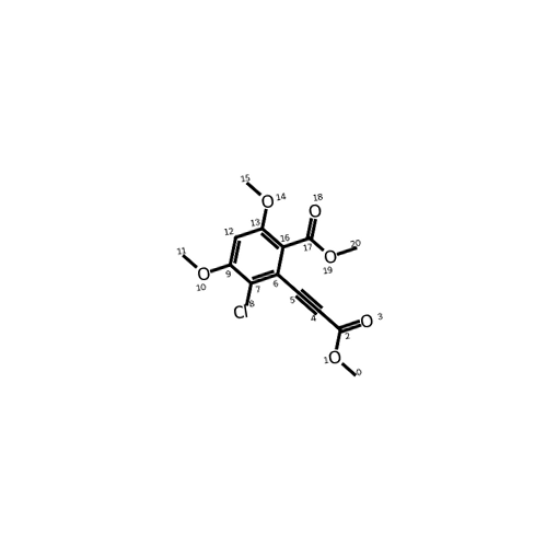 COC(=O)C#Cc1c(Cl)c(OC)cc(OC)c1C(=O)OC